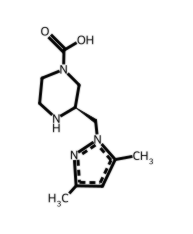 Cc1cc(C)n(C[C@@H]2CN(C(=O)O)CCN2)n1